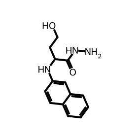 NNC(=O)C(CCO)Nc1ccc2ccccc2c1